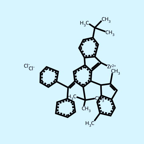 CC1=Cc2ccc(C)cc2C1c1c(C(C)(C)C)c(=C(c2ccccc2)c2ccccc2)cc2c1=[C]([Zr+2])c1cc(C(C)(C)C)ccc1-2.[Cl-].[Cl-]